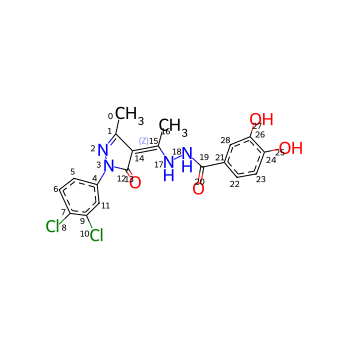 CC1=NN(c2ccc(Cl)c(Cl)c2)C(=O)/C1=C(/C)NNC(=O)c1ccc(O)c(O)c1